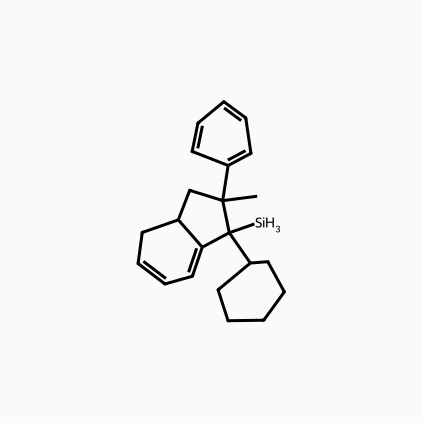 CC1(c2ccccc2)CC2CC=CC=C2C1([SiH3])C1CCCCC1